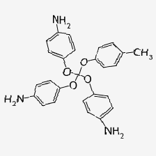 Cc1ccc(OC(Oc2ccc(N)cc2)(Oc2ccc(N)cc2)Oc2ccc(N)cc2)cc1